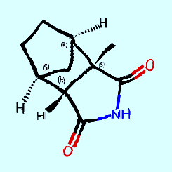 C[C@@]12C(=O)NC(=O)[C@@H]1[C@H]1CC[C@@H]2C1